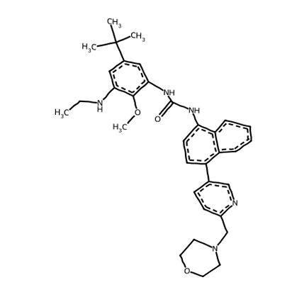 CCNc1cc(C(C)(C)C)cc(NC(=O)Nc2ccc(-c3ccc(CN4CCOCC4)nc3)c3ccccc23)c1OC